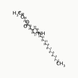 CCCCCCCCCCCCCCCNc1ccc(/C=C/C(=O)OCCOCC)cc1